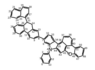 c1ccc(-n2c3cc(-c4ccc5c(c4)CC(c4cccc6ccccc46)c4ccccc4-5)ccc3c3c4cccc5c4c(cc32)Oc2ccccc2-5)cc1